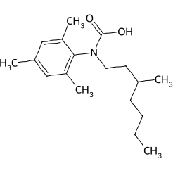 CCCCC(C)CCN(C(=O)O)c1c(C)cc(C)cc1C